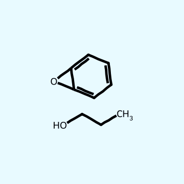 CCCO.c1ccc2c(c1)O2